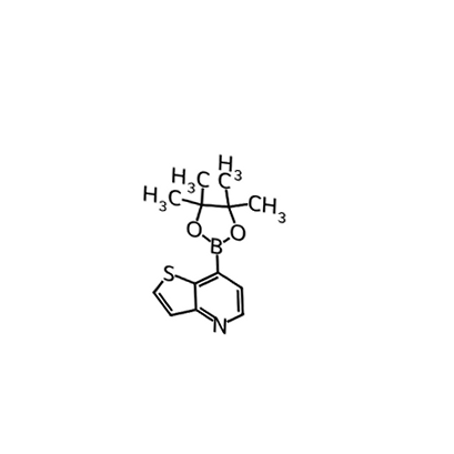 CC1(C)OB(c2ccnc3ccsc23)OC1(C)C